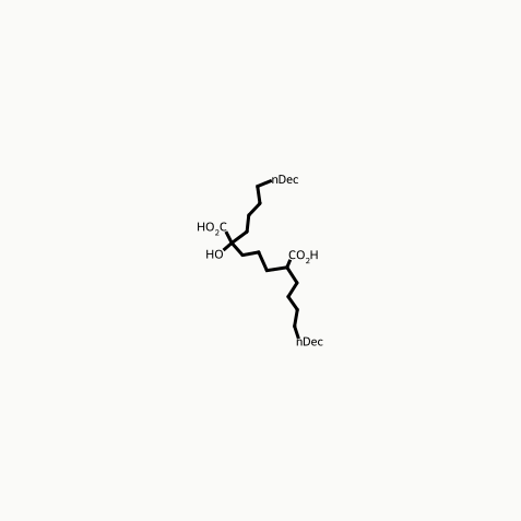 CCCCCCCCCCCCCCC(CCCC(O)(CCCCCCCCCCCCCC)C(=O)O)C(=O)O